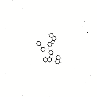 c1ccc(-c2cccc(N(c3ccc4c(c3)oc3ccc5ccccc5c34)c3ccc4c(c3)c3c5ccccc5ccc3n4-c3cccc4ccccc34)c2)cc1